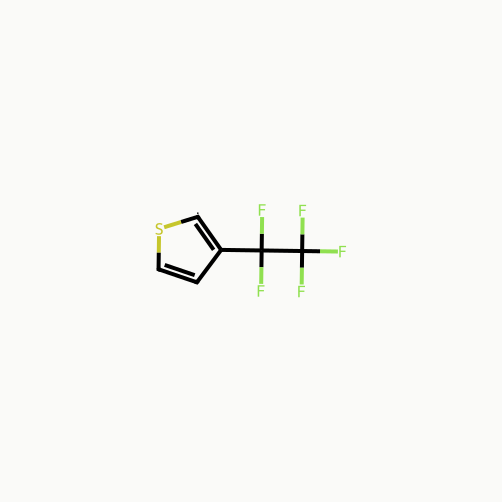 FC(F)(F)C(F)(F)c1[c]scc1